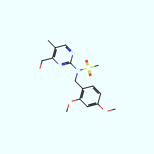 COc1ccc(CN(c2ncc(C)c(CO)n2)S(C)(=O)=O)c(OC)c1